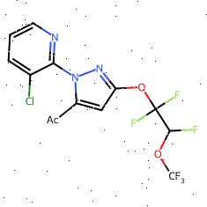 CC(=O)c1cc(OC(F)(F)C(F)OC(F)(F)F)nn1-c1ncccc1Cl